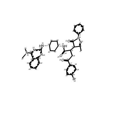 CC1=NN(c2ccccc2)C(=O)C1C(CC(=O)c1ccc(Br)cc1)C(=O)N[C@H]1CC[C@@H](Nc2nc(N(C)C)c3ccccc3n2)CC1